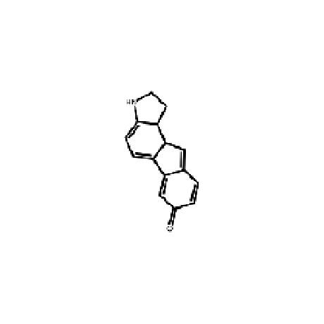 O=C1C=CC2=CC3C(=CC=C4NCCC43)C2=C1